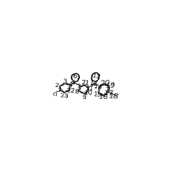 Cc1ccc(C(=O)c2cccc(C(=O)c3ccc(C)cc3)c2)cc1